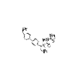 CC(C)Cc1ccc(-c2ccc(C(CC(C)C)C(C)(C)C(=O)Nc3nccs3)cc2)cc1